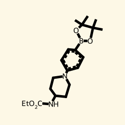 CCOC(=O)NC1CCN(c2ccc(B3OC(C)(C)C(C)(C)O3)cc2)CC1